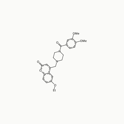 CCOc1ccc2oc(=O)cc(CN3CCN(C(=O)c4ccc(OC)c(OC)c4)CC3)c2c1